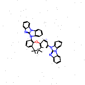 C=C(/C=C\C1=C(C)[Si](C)(C)C(C)(C)c2cccc(-n3c4ccccc4n4c5ccccc5nc34)c2O1)n1c2ccccc2n2c3ccccc3nc12